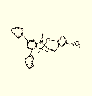 CN1c2cc(-c3ccccc3)cc(-c3ccccc3)c2C(C)(C)C12C=Cc1cc([N+](=O)[O-])ccc1O2